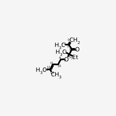 C=C(C)C(=O)C(C)(CC)OCCC=C(C)C